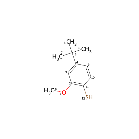 COc1cc(C(C)(C)C)ccc1S